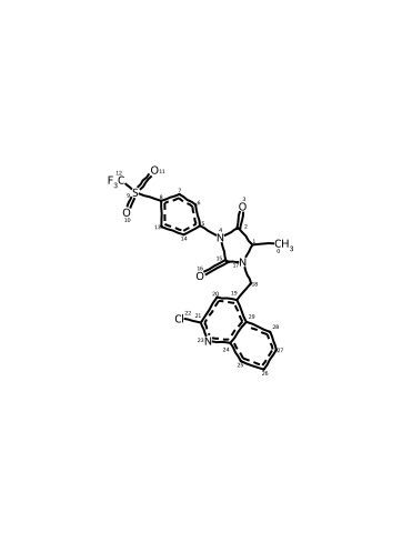 CC1C(=O)N(c2ccc(S(=O)(=O)C(F)(F)F)cc2)C(=O)N1Cc1cc(Cl)nc2ccccc12